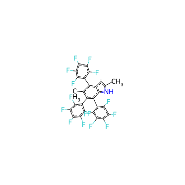 Cc1[c]c2c(-c3c(F)c(F)c(F)c(F)c3F)c(C)c(-c3c(F)c(F)c(F)c(F)c3F)c(-c3c(F)c(F)c(F)c(F)c3F)c2[nH]1